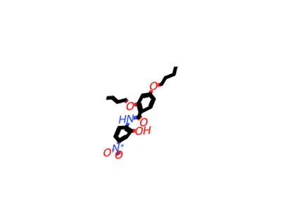 CCCCOc1ccc(C(=O)Nc2ccc([N+](=O)[O-])cc2O)c(OCCCC)c1